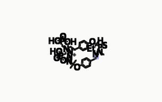 CCC(C)(Oc1ccc(CCN(CP(=O)(O)O)CP(=O)(O)O)cc1)[PH](=S)N(C)/N=C/c1ccc(OC(C)(C)N=[N+]=[N-])cc1